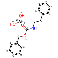 O=C(NCCc1ccccc1)OCc1ccccc1.OBO